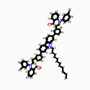 CCCCCCCCCCCCn1c2cc(-c3ccc4sc(N(c5cccc(C)c5)c5ccccc5C=O)cc4c3)ccc2c2ccc(-c3ccc4sc(N(c5cccc(C)c5)c5ccccc5C=O)cc4c3)cc21